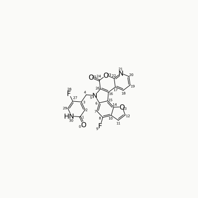 O=c1cc(Cn2c3cc(F)c4ccoc4c3c3c4cccnc4oc(=O)c32)c(F)c[nH]1